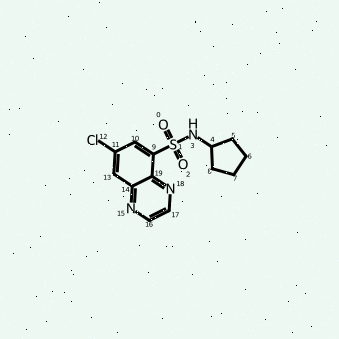 O=S(=O)(NC1CCCC1)c1cc(Cl)cc2nccnc12